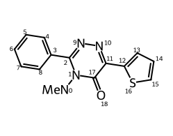 CNn1c(-c2ccccc2)nnc(-c2cccs2)c1=O